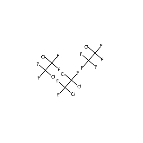 FC(F)(Cl)C(F)(Cl)Cl.FC(F)(Cl)C(F)(F)Cl.FC(F)(F)C(F)(F)Cl